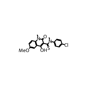 COc1ccc2c(c1)c(O)c(C(=S)N(C)c1ccc(Cl)cc1)c(=O)n2C